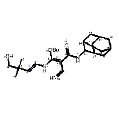 CC(C)CO/C(N/C=C/C(C)(C)CO)=C(/C=N)C(=O)NC1C2CC3CC(C2)CC1C3